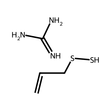 C=CCSS.N=C(N)N